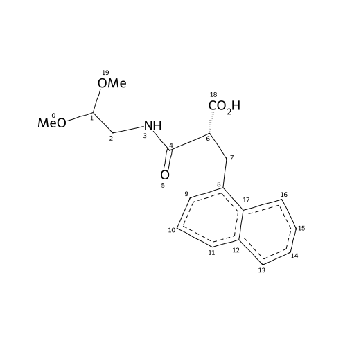 COC(CNC(=O)[C@@H](Cc1cccc2ccccc12)C(=O)O)OC